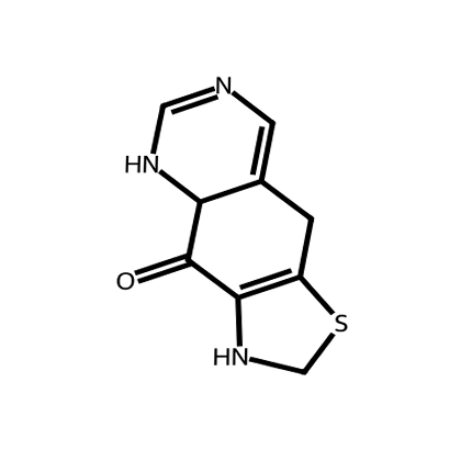 O=C1C2=C(CC3=CN=CNC13)SCN2